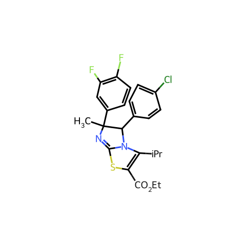 CCOC(=O)C1=C(C(C)C)N2C(=NC(C)(c3ccc(F)c(F)c3)C2c2ccc(Cl)cc2)S1